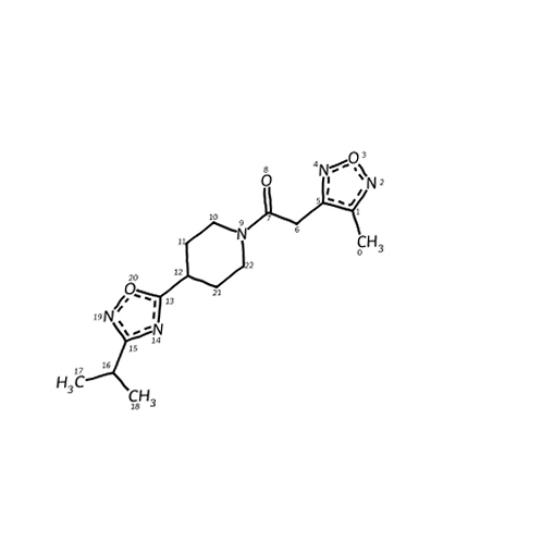 Cc1nonc1CC(=O)N1CCC(c2nc(C(C)C)no2)CC1